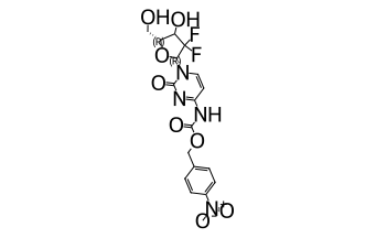 O=C(Nc1ccn([C@@H]2O[C@H](CO)C(O)C2(F)F)c(=O)n1)OCc1ccc([N+](=O)[O-])cc1